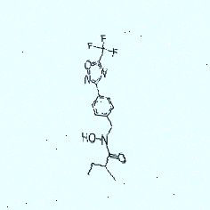 CCC(C)C(=O)N(O)Cc1ccc(-c2noc(C(F)(F)F)n2)cc1